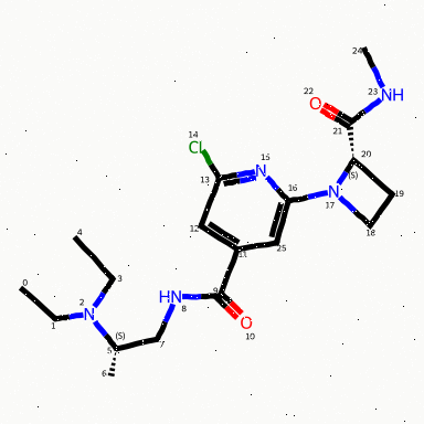 CCN(CC)[C@@H](C)CNC(=O)c1cc(Cl)nc(N2CC[C@H]2C(=O)NC)c1